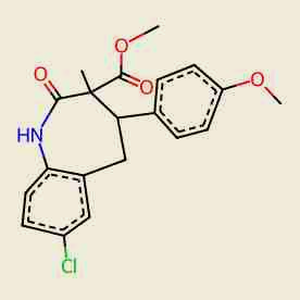 COC(=O)C1(C)C(=O)Nc2ccc(Cl)cc2CC1c1ccc(OC)cc1